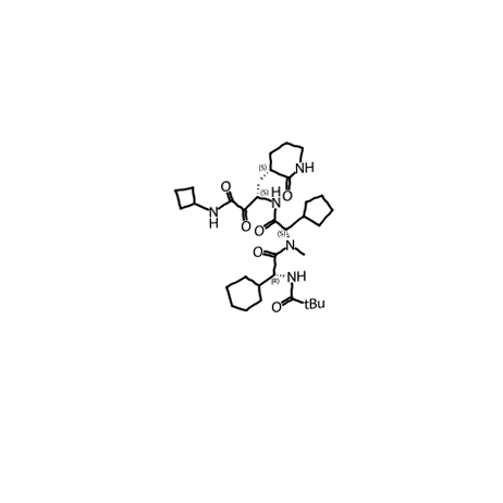 CN(C(=O)[C@H](NC(=O)C(C)(C)C)C1CCCCC1)[C@H](C(=O)N[C@@H](C[C@@H]1CCCNC1=O)C(=O)C(=O)NC1CCC1)C1CCCC1